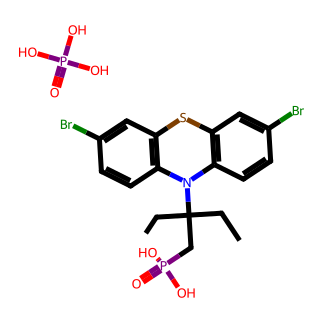 CCC(CC)(CP(=O)(O)O)N1c2ccc(Br)cc2Sc2cc(Br)ccc21.O=P(O)(O)O